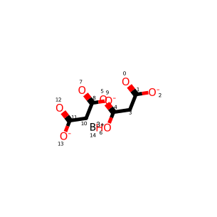 O=C([O-])CC(=O)O.O=C([O-])CC(=O)[O-].[B+3]